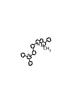 Cc1cc(-c2ccccc2)c2ccc3ccc(-c4cccc(-c5cccc(-c6cc(-c7ccccc7)cc(-c7ccccc7)n6)c5)c4)nc3c2n1